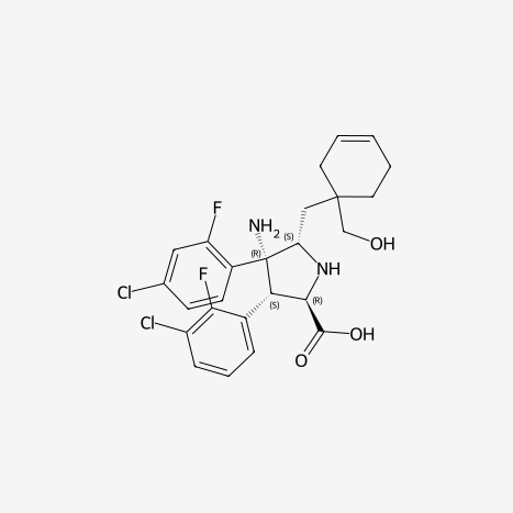 N[C@]1(c2ccc(Cl)cc2F)[C@H](CC2(CO)CC=CCC2)N[C@@H](C(=O)O)[C@@H]1c1cccc(Cl)c1F